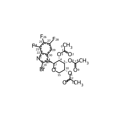 CC(=O)O[C@@H]1[C@H](OC(C)=O)[C@H](OC(C)=O)CO[C@H]1n1c(Br)nc2c(F)c(F)c(F)cc21